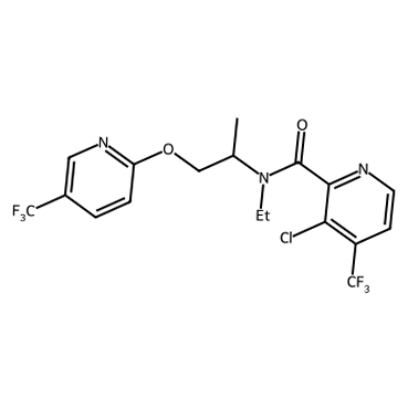 CCN(C(=O)c1nccc(C(F)(F)F)c1Cl)C(C)COc1ccc(C(F)(F)F)cn1